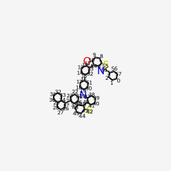 c1ccc(-c2nc3c(ccc4oc5ccc(-c6ccc(N(c7ccc(-c8cccc9ccccc89)cc7)c7cccc8sc9ccccc9c78)cc6)cc5c43)s2)cc1